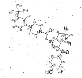 Cc1c(N2CCN(C(=O)Cn3nc(C(=O)N4CC[C@@H](O)[C@@H](F)C4)c4c3C[C@H]3C[C@@H]43)CC2)cccc1C(F)(F)F